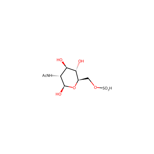 CC(=O)N[C@@H]1[C@@H](O)[C@H](O)[C@@H](COS(=O)(=O)O)O[C@H]1O